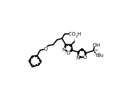 CC(C)(C)[C@H](O)c1cc(-c2onc(C(CCCOCc3ccccc3)CC(=O)O)c2I)no1